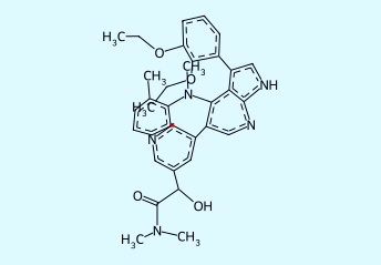 CCOc1cccc(-c2c[nH]c3ncc(-c4cncc(C(O)C(=O)N(C)C)c4)c(N(C)c4ccccc4C)c23)c1OCC